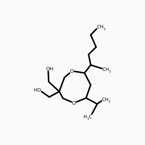 CCCCC(C)C1CC(C(C)C)OCC(CO)(CO)CO1